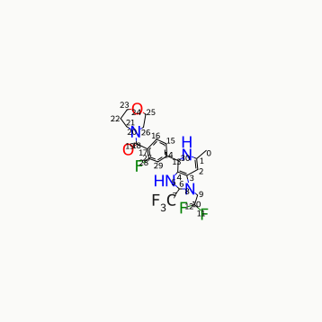 CC1=CC2=C(NC(C(F)(F)F)N2CC(F)F)C(c2ccc(C(=O)N3CCCOCC3)c(F)c2)N1